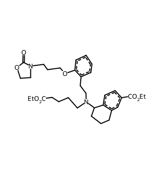 CCOC(=O)CCCCN(CCc1ccccc1OCCCN1CCOC1=O)C1CCCc2cc(C(=O)OCC)ccc21